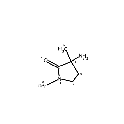 CCCN1CCC(C)(N)C1=O